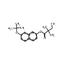 CCC(C)(C)C(=O)Oc1ccc2ccc(OC(C)(C)C)cc2c1